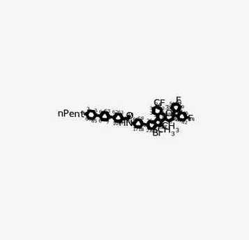 CCCCCC1CCC(c2ccc(-c3ccc(C(=O)Nc4ccc(-c5cc(Br)c6c(c5)-c5c(c7c(c8cc(C(F)(F)F)ccc58)OC(c5ccc(F)cc5)(c5ccc(F)cc5)C=C7)C6(C)C)cc4)cc3)cc2)CC1